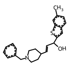 Cc1ccc2cc(C(O)C=CC3CCN(Cc4ccccc4)CC3)sc2c1